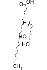 CCCCC(O)CO.CCCCCCCCCCCCCCCCCC(=O)O